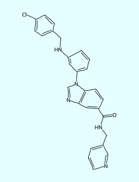 O=C(NCc1cccnc1)c1ccc2c(c1)ncn2-c1cccc(NCc2ccc(Cl)cc2)c1